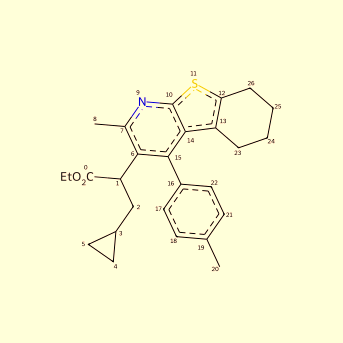 CCOC(=O)C(CC1CC1)c1c(C)nc2sc3c(c2c1-c1ccc(C)cc1)CCCC3